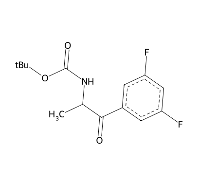 CC(NC(=O)OC(C)(C)C)C(=O)c1cc(F)cc(F)c1